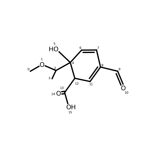 COC(C)C1(O)C=CC(C=O)=CC1C(=O)O